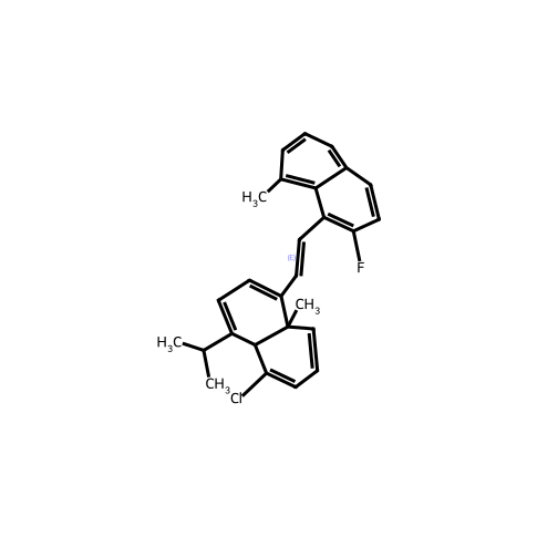 Cc1cccc2ccc(F)c(/C=C/C3=CC=C(C(C)C)C4C(Cl)=CC=CC34C)c12